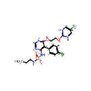 O=C(O)CCNS(=O)(=O)Nc1ncnc(OCCOc2ncc(Br)cn2)c1-c1ccc(Br)cc1